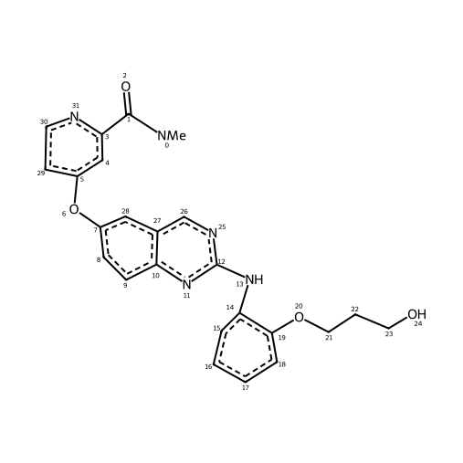 CNC(=O)c1cc(Oc2ccc3nc(Nc4ccccc4OCCCO)ncc3c2)ccn1